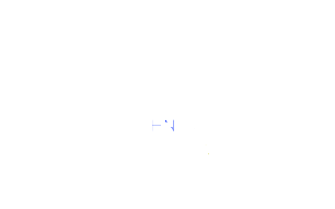 Cc1ccc2c(c1)NC(=S)C2